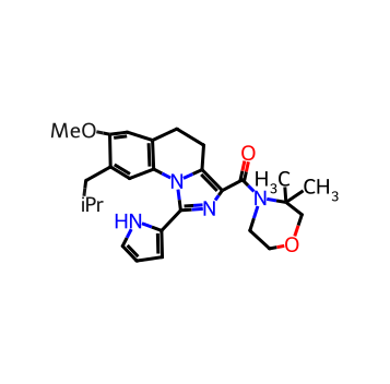 COc1cc2c(cc1CC(C)C)-n1c(-c3ccc[nH]3)nc(C(=O)N3CCOCC3(C)C)c1CC2